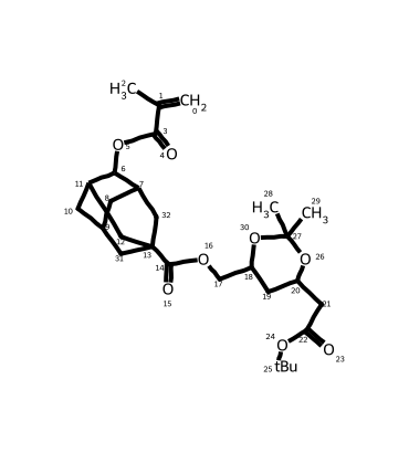 C=C(C)C(=O)OC1C2CC3CC1CC(C(=O)OCC1CC(CC(=O)OC(C)(C)C)OC(C)(C)O1)(C3)C2